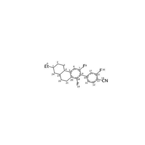 CCC1CCC2c3cc(F)c(-c4ccc(C#N)c(F)c4)c(F)c3CCC2C1